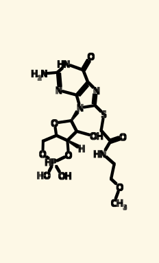 COCCNC(=O)CSc1nc2c(=O)[nH]c(N)nc2n1[C@@H]1OC2CO[PH](O)(O)O[C@H]2C1O